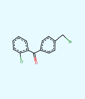 O=C(c1ccc(CBr)cc1)c1ccccc1Cl